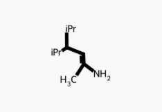 C/C(N)=C\C(C(C)C)C(C)C